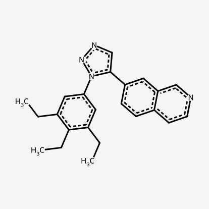 CCc1cc(-n2nncc2-c2ccc3ccncc3c2)cc(CC)c1CC